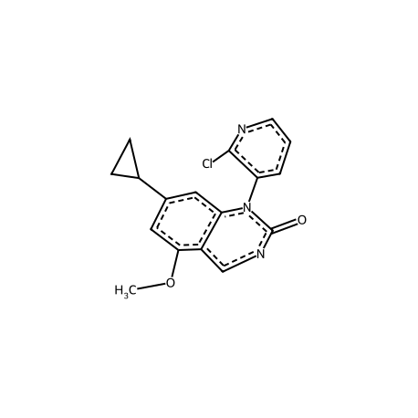 COc1cc(C2CC2)cc2c1cnc(=O)n2-c1cccnc1Cl